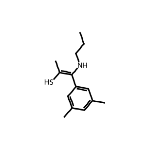 CCCN/C(=C(\C)S)c1cc(C)cc(C)c1